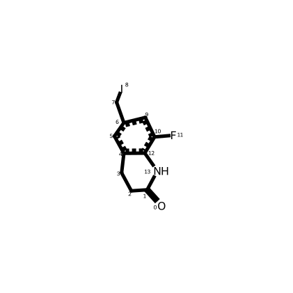 O=C1CCc2cc(CI)cc(F)c2N1